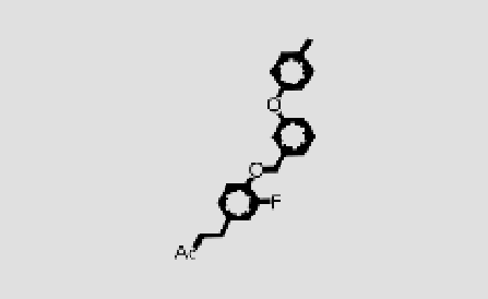 CC(=O)CCc1ccc(OCc2cccc(Oc3ccc(C)cc3)c2)c(F)c1